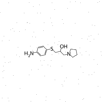 Nc1ccc(SCC(O)CN2CCCC2)cc1